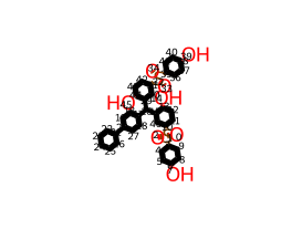 O=S(=O)(c1ccc(O)cc1)c1ccc(O)c(C(c2ccc(-c3ccccc3)cc2)c2cc(S(=O)(=O)c3ccc(O)cc3)ccc2O)c1